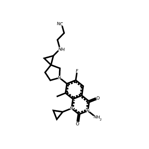 Cc1c(N2CCC3(CC3NCCC#N)C2)c(F)cc2c(=O)n(N)c(=O)n(C3CC3)c12